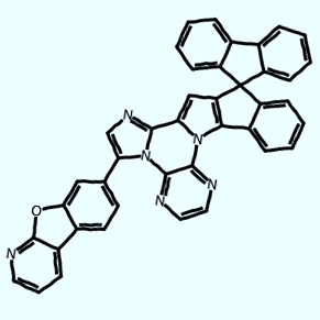 c1ccc2c(c1)-c1ccccc1C21c2ccccc2-c2c1cc1c3ncc(-c4ccc5c(c4)oc4ncccc45)n3c3nccnc3n21